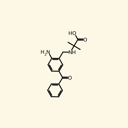 CC(C)(NCc1cc(C(=O)c2ccccc2)ccc1N)C(=O)O